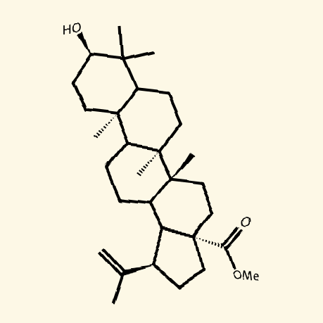 C=C(C)[C@@H]1CC[C@]2(C(=O)OC)CC[C@]3(C)C(CCC4[C@@]5(C)CC[C@@H](O)C(C)(C)C5CC[C@]43C)C12